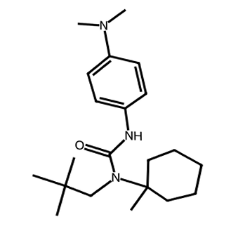 CN(C)c1ccc(NC(=O)N(CC(C)(C)C)C2(C)CCCCC2)cc1